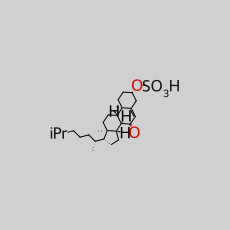 CC(C)CCC[C@@H](C)[C@H]1CC[C@H]2[C@@H]3C(=O)C=C4C[C@@H](OS(=O)(=O)O)CC[C@]4(C)[C@H]3CC[C@]12C